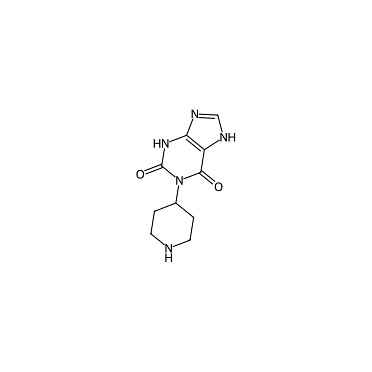 O=c1[nH]c2nc[nH]c2c(=O)n1C1CCNCC1